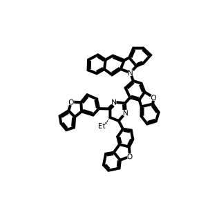 CC[C@@H]1C(c2ccc3oc4ccccc4c3c2)=NC(c2cc(-n3c4ccccc4c4cc5ccccc5cc43)cc3oc4ccccc4c23)=NC1c1ccc2oc3ccccc3c2c1